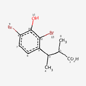 CC(C(=O)O)C(C)c1ccc(Br)c(O)c1Br